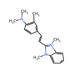 Cc1cc(C=Cc2n(C)c3ccccc3[n+]2C)ccc1N(C)C